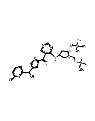 CC(C)[Si](O[C@H]1C[C@H](Nc2ncncc2C(=O)c2cc(C(O)c3cccc(Cl)n3)cs2)C[C@@H]1CO[Si](C)(C)C(C)(C)C)(C(C)C)C(C)C